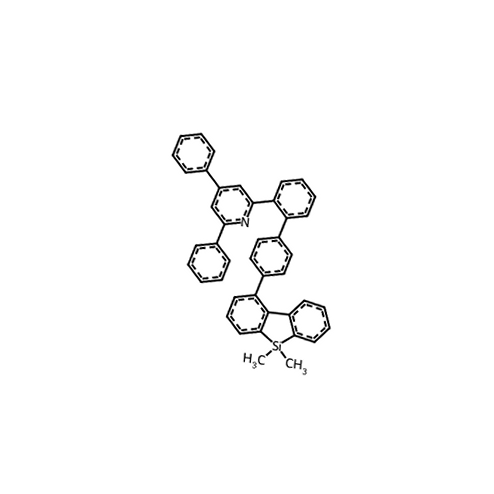 C[Si]1(C)c2ccccc2-c2c(-c3ccc(-c4ccccc4-c4cc(-c5ccccc5)cc(-c5ccccc5)n4)cc3)cccc21